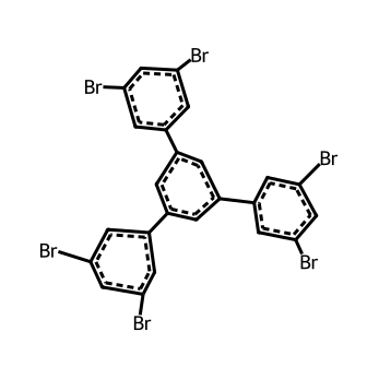 Brc1cc(Br)cc(-c2cc(-c3cc(Br)cc(Br)c3)cc(-c3cc(Br)cc(Br)c3)c2)c1